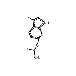 CC(F)Oc1ccc2c(I)c[nH]c2n1